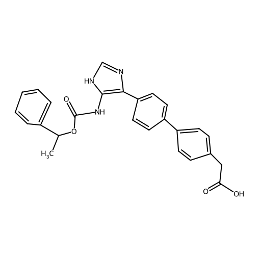 CC(OC(=O)Nc1[nH]cnc1-c1ccc(-c2ccc(CC(=O)O)cc2)cc1)c1ccccc1